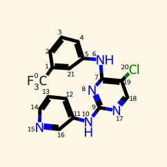 FC(F)(F)c1cccc(Nc2nc(Nc3cccnc3)ncc2Cl)c1